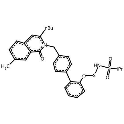 CCCCc1cc2ccc(C)cc2c(=O)n1Cc1ccc(-c2ccccc2OSNS(=O)(=O)C(C)C)cc1